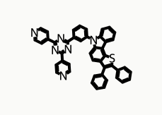 c1ccc(-c2sc3c(ccc4c3c3ccccc3n4-c3cccc(-c4nc(-c5ccncc5)nc(-c5ccncc5)n4)c3)c2-c2ccccc2)cc1